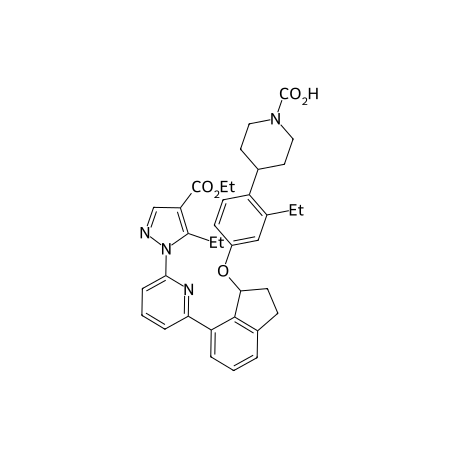 CCOC(=O)c1cnn(-c2cccc(-c3cccc4c3C(Oc3ccc(C5CCN(C(=O)O)CC5)c(CC)c3)CC4)n2)c1CC